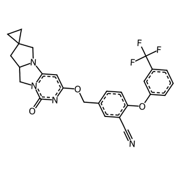 N#Cc1cc(COc2cc3n(c(=O)n2)CC2CC4(CC4)CN32)ccc1Oc1cccc(C(F)(F)F)c1